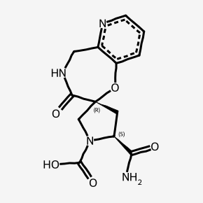 NC(=O)[C@@H]1C[C@]2(CN1C(=O)O)Oc1cccnc1CNC2=O